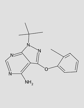 Cc1ccccc1Oc1nn(C(C)(C)C)c2ncnc(N)c12